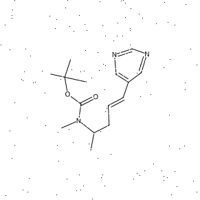 CC(CC=Cc1cncnc1)N(C)C(=O)OC(C)(C)C